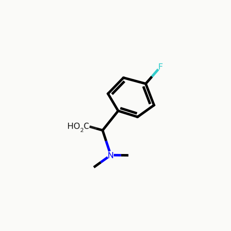 CN(C)C(C(=O)O)c1ccc(F)cc1